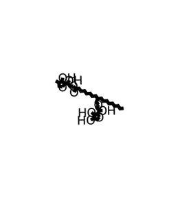 CCCCCCCCCC(CCCCCCCC(=O)OCC(O)C1OCC(C)C1O)COCC(O)C1OCC(O)C1O